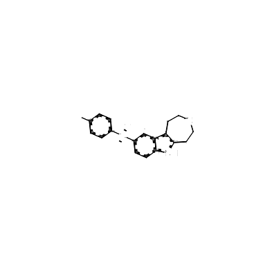 O=S(=O)(c1ccc(F)cc1)c1ccc2[nH]c3c(c2c1)CCNCC3